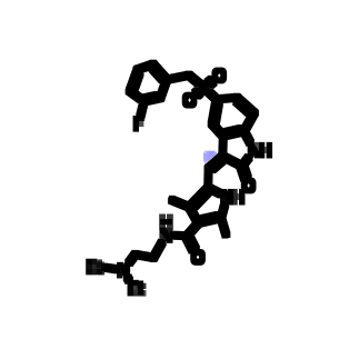 CCN(CC)CCNC(=O)c1c(C)[nH]c(/C=C2\C(=O)Nc3ccc(S(=O)(=O)Cc4cccc(F)c4)cc32)c1C